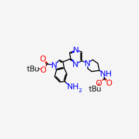 CC(C)(C)OC(=O)NC1CCN(c2cncc(-c3cn(C(=O)OC(C)(C)C)c4ccc(N)cc34)n2)CC1